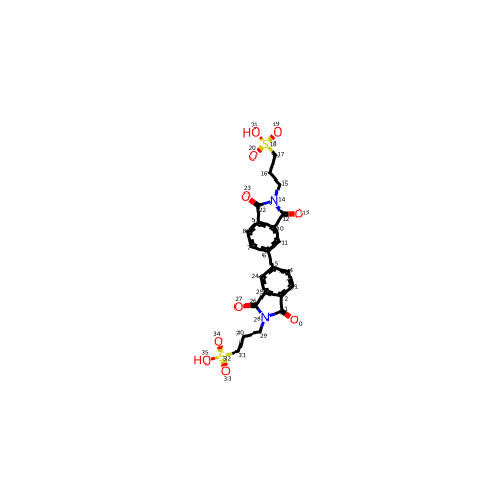 O=C1c2ccc(-c3ccc4c(c3)C(=O)N(CCCS(=O)(=O)O)C4=O)cc2C(=O)N1CCCS(=O)(=O)O